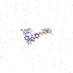 CC(NC(=O)c1ccc2c(n1)N(C(=O)Nc1ccc(OCC3COC(C)(C)O3)nn1)[C@H]1CCN2C1)C(F)(F)F